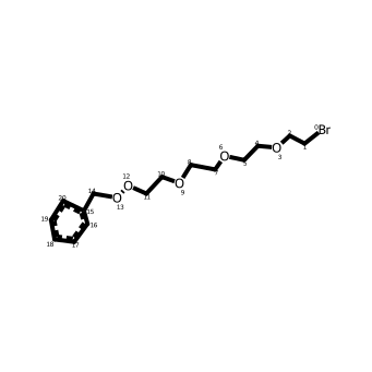 BrCCOCCOCCOCCOOCc1ccccc1